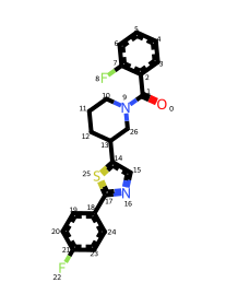 O=C(c1ccccc1F)N1CCCC(c2cnc(-c3ccc(F)cc3)s2)C1